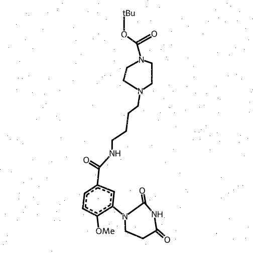 COc1ccc(C(=O)NCCCCN2CCN(C(=O)OC(C)(C)C)CC2)cc1N1CCC(=O)NC1=O